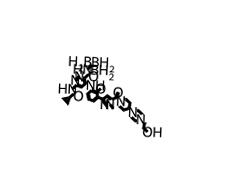 BC(B)(B)NC(=O)c1nnc(NC(=O)C2CC2)cc1Nc1cccc(-c2cc(C(=O)N3CCC(N4CCN(CCO)CC4)CC3)n(C)n2)c1OC